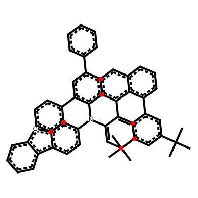 CC(C)(C)c1cc(-c2cccc3cccc(C4=CCCC=C4N(c4ccc5c(c4)oc4ccccc45)c4ccc(-c5ccccc5)cc4-c4ccccc4)c23)cc(C(C)(C)C)c1